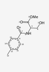 COC(=O)C(CO)NC(=O)c1ccc(C)cc1